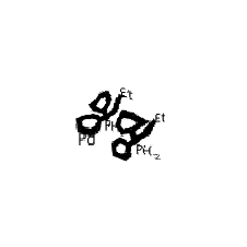 CCC=CC(P)(C1CCCCC1)C1CCCCC1.CCC=CC(P)(C1CCCCC1)C1CCCCC1.[Pd]